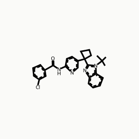 CC(C)(C)n1c(C2(c3ccc(NC(=O)c4cccc(Cl)c4)nc3)CCC2)nc2ccccc21